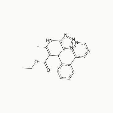 CCOC(=O)C1=C(C)Nc2nnnn2C1c1ccccc1-c1cncnc1